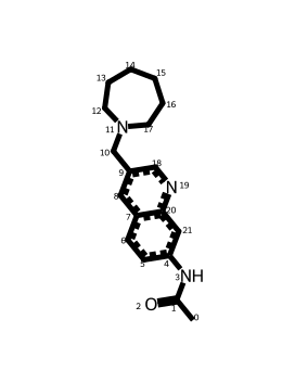 CC(=O)Nc1ccc2cc(CN3CCCCCC3)cnc2c1